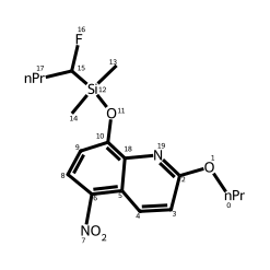 CCCOc1ccc2c([N+](=O)[O-])ccc(O[Si](C)(C)C(F)CCC)c2n1